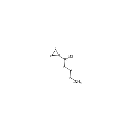 CCCCP(Cl)C1CC1